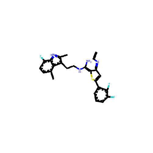 C=C/N=C1/C=C(c2cccc(F)c2F)S/C1=C(/N)NCCc1c(C)[nH]c2c(F)ccc(C)c12